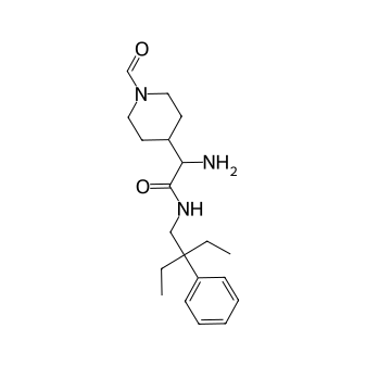 CCC(CC)(CNC(=O)C(N)C1CCN(C=O)CC1)c1ccccc1